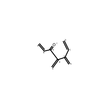 C=CC(=C)C(=C)C(=O)C=C